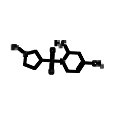 CC1=CCN(S(=O)(=O)C2CCN(C(C)C)C2)C(C)C1